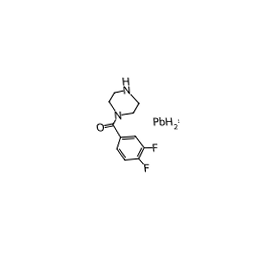 O=C(c1ccc(F)c(F)c1)N1CCNCC1.[PbH2]